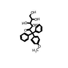 COc1ccc(C(C(=O)C(O)C(O)C(O)CO)(c2ccccc2)c2ccccc2)cc1